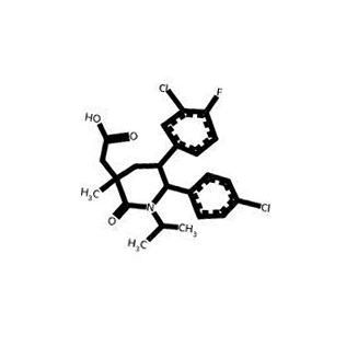 CC(C)N1C(=O)C(C)(CC(=O)O)CC(c2ccc(F)c(Cl)c2)C1c1ccc(Cl)cc1